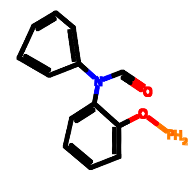 O=CN(c1ccccc1)c1ccccc1OP